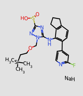 C[Si](C)(C)CCOCn1nc(S(=O)O)nc1Nc1c(-c2ccnc(F)c2)ccc2c1CCC2.[NaH]